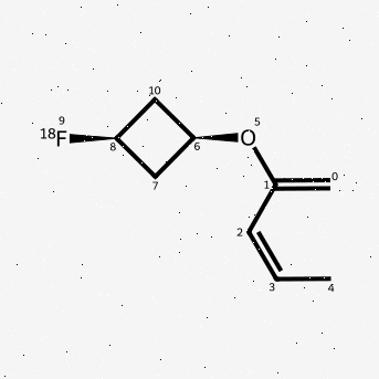 C=C(/C=C\C)O[C@H]1C[C@@H]([18F])C1